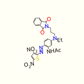 CCN(CCCN1C(=O)c2ccccc2C1=O)c1ccc(/N=N/c2sc([N+](=O)[O-])cc2[N+](=O)[O-])c(NC(C)=O)c1